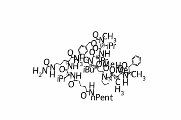 CCCCCNC(=O)CCCC(=O)N[C@H](C(=O)N[C@@H](CCCNC(N)=O)C(=O)Nc1ccc(COC(=O)N(C)[C@H](C(=O)N[C@H](C(=O)N(C)[C@@H](C(C)CC)[C@@H](CC(=O)N2CCC[C@H]2[C@H](OC)[C@@H](C)C(=O)N[C@H](C)C(O)c2ccccc2)OC)C(C)C)C(C)C)cc1)C(C)C